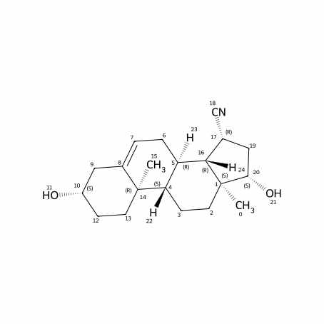 C[C@]12CC[C@H]3[C@@H](CC=C4C[C@@H](O)CC[C@@]43C)[C@@H]1[C@H](C#N)C[C@@H]2O